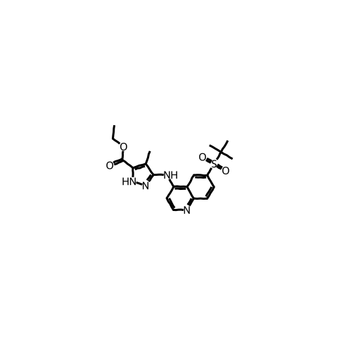 CCOC(=O)c1[nH]nc(Nc2ccnc3ccc(S(=O)(=O)C(C)(C)C)cc23)c1C